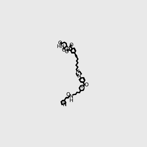 O=C(/C=C/c1cccnc1)NCCCCC1CCN(C(=O)c2ccc(N3CCN(CCCCCCC#Cc4ccc5c(c4)C(=O)N(C4CCC(=O)NC4=O)C5=O)CC3)cc2)CC1